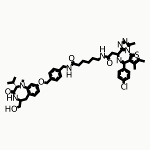 Cc1sc2c(c1C)C(c1ccc(Cl)cc1)=NC(CC(=O)NCCCCCC(=O)NCc1ccc(COc3ccc4c(c3)N(C)[C@@H](C(C)C)C(=O)NC(CO)C4)cc1)c1nnc(C)n1-2